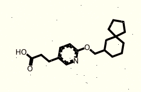 O=C(O)CCc1ccc(OCC2CCCC3(CCCC3)C2)nc1